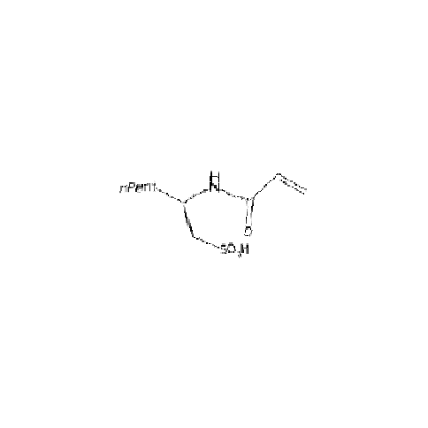 C=CC(=O)NC(CCCCC)CS(=O)(=O)O